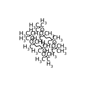 CC(C)(C)OOC(C)(C)CCC(C)(C)OOC(C)(C)C.CC(C)(C)OOC(C)(C)CCC(C)(C)OOC(C)(C)C